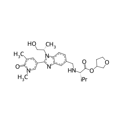 Cc1cc(-c2nc3cc(CN[C@H](C(=O)OC4CCOC4)C(C)C)ccc3n2[C@@H](C)CO)cn(C)c1=O